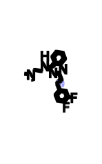 CN(C)CCNc1nc(/C=C/c2ccc(F)c(F)c2)nc2ccccc12